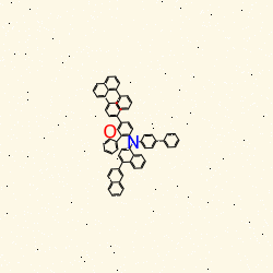 c1ccc(-c2ccc(N(c3ccc(-c4ccc5ccccc5c4)c4ccccc34)c3ccc(-c4ccc(-c5cccc6cccc(-c7ccccc7)c56)cc4)c4oc5ccccc5c34)cc2)cc1